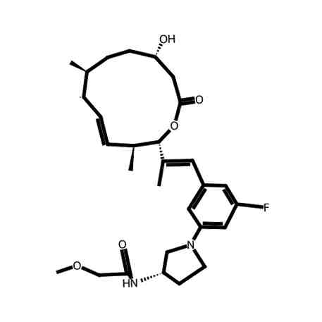 COCC(=O)N[C@H]1CCN(c2cc(F)cc(/C=C(\C)[C@H]3OC(=O)C[C@@H](O)CC[C@H](C)[CH]/C=C/[C@@H]3C)c2)C1